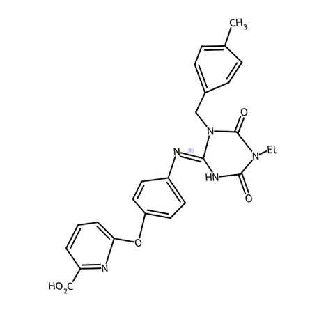 CCn1c(=O)[nH]/c(=N\c2ccc(Oc3cccc(C(=O)O)n3)cc2)n(Cc2ccc(C)cc2)c1=O